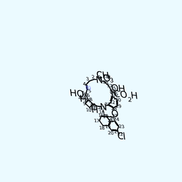 CN1CC/C=C/[C@@H](O)[C@@H]2CC[C@H]2CN2C[C@]3(CCCc4cc(Cl)ccc43)COc3ccc(cc32)[C@](O)(C(=O)O)CC1=O